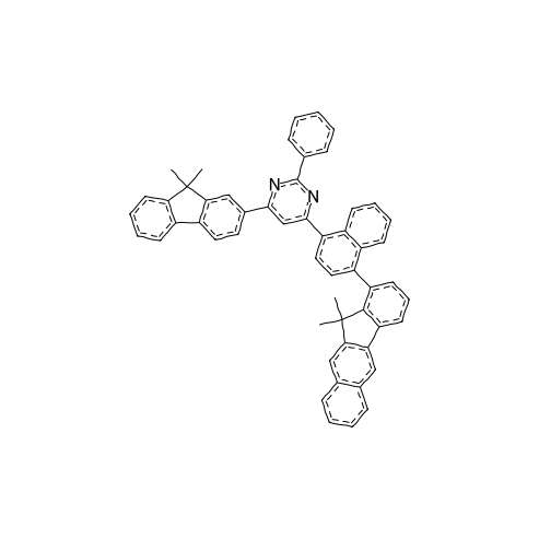 CC1(C)c2ccccc2-c2ccc(-c3cc(-c4ccc(-c5cccc6c5C(C)(C)c5cc7ccccc7cc5-6)c5ccccc45)nc(-c4ccccc4)n3)cc21